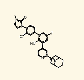 CC(C)N1C2CCCC1CN(c1cc(-c3cc(F)cc(-c4ccc(-n5ccn(C)c5=O)c(Cl)c4)c3O)ccn1)C2